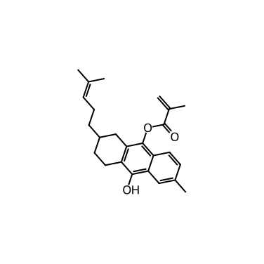 C=C(C)C(=O)Oc1c2c(c(O)c3cc(C)ccc13)CCC(CCC=C(C)C)C2